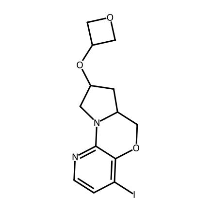 Ic1ccnc2c1OCC1CC(OC3COC3)CN21